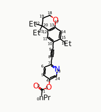 CCCC(=O)Oc1ccc(C#Cc2cc3c(cc2CC)OCCC3(CC)CC)nc1